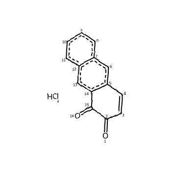 Cl.O=C1C=Cc2cc3ccccc3cc2C1=O